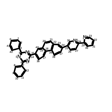 c1ccc(-c2nc(-c3ccccc3)nc(-c3ccc4c(ccc5cc(-c6ccc(-c7ccccn7)nc6)ccc54)c3)n2)cc1